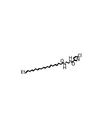 CCC=CCC=CCC=CCC=CCC=CCC=CCCC(=O)NCCNC(=O)c1ccc(Cl)nc1